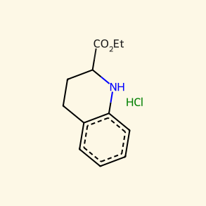 CCOC(=O)C1CCc2ccccc2N1.Cl